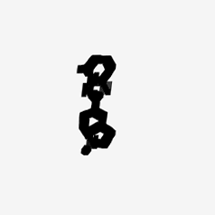 Cc1cccc2nc(-c3ccc4c(ccn4C)c3)nn12